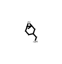 CC12CC(CO)CCC1O2